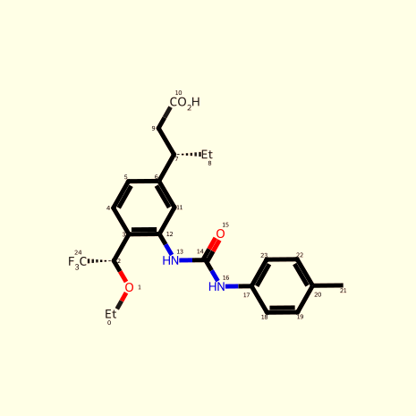 CCO[C@@H](c1ccc([C@@H](CC)CC(=O)O)cc1NC(=O)Nc1ccc(C)cc1)C(F)(F)F